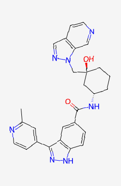 Cc1cc(-c2n[nH]c3ccc(C(=O)N[C@H]4CCC[C@@](O)(Cn5ncc6ccncc65)C4)cc23)ccn1